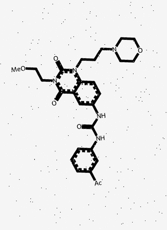 COCCn1c(=O)c2cc(NC(=O)Nc3cccc(C(C)=O)c3)ccc2n(CCCN2CCOCC2)c1=O